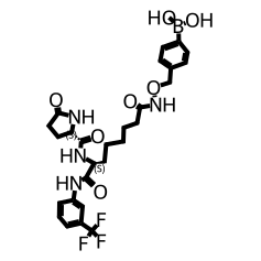 O=C(CCCCC[C@H](NC(=O)[C@@H]1CCC(=O)N1)C(=O)Nc1cccc(C(F)(F)F)c1)NOCc1ccc(B(O)O)cc1